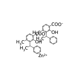 Cc1ccc(C(=O)[O-])c(O)c1C(C)c1ccccc1.Cc1ccc(C(=O)[O-])c(O)c1C(C)c1ccccc1.[Zn+2]